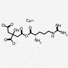 N=C(N)NCCC[C@H](N)C(=O)OC(=O)CC(O)(CC(=O)[O-])C(=O)[O-].[Ca+2]